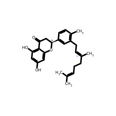 CC(C)=CCC/C(C)=C/Cc1cc([C@@H]2CC(=O)c3c(O)cc(O)cc3O2)ccc1C